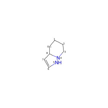 [C]1CCCN2NC=CC12